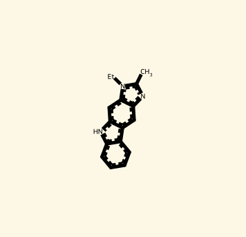 CCn1c(C)nc2cc3c(cc21)[nH]c1ccccc13